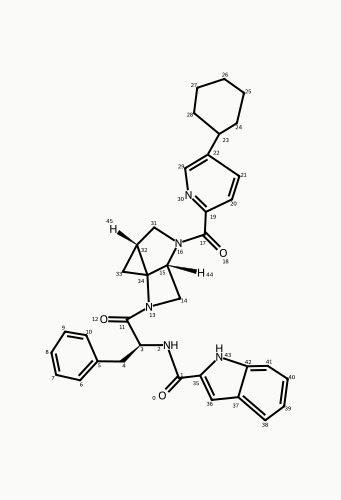 O=C(N[C@@H](Cc1ccccc1)C(=O)N1C[C@H]2N(C(=O)c3ccc(C4CCCCC4)cn3)C[C@H]3CC321)c1cc2ccccc2[nH]1